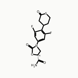 NC(=O)[C@H]1CN(c2cc(F)c(C3CCSC(=O)C3)c(F)c2)C(=O)O1